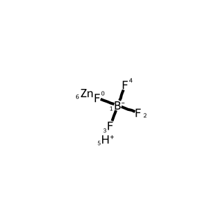 F[B-](F)(F)F.[H+].[Zn]